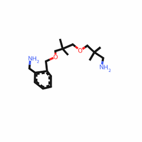 CC(C)(CN)COCC(C)(C)COCc1ccccc1CN